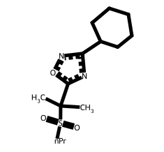 CCCS(=O)(=O)C(C)(C)c1nc(C2CCCCC2)no1